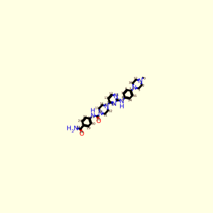 CN1CCN(c2ccc(Nc3nccc(N4CCN(C(=O)Nc5ccc(C(N)=O)cc5)CC4)n3)cc2)CC1